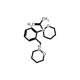 C=C(C)[Si]1(c2ccccc2C[SiH]2CCCCO2)CCCCO1